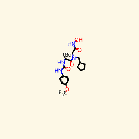 CC(C)(C)[C@H](NC(=O)Nc1ccc(OC(F)(F)F)cc1)C(=O)N(CC(=O)NO)CC1CCCC1